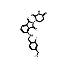 O=C1CC[C@H](N2C(=O)c3cccc(NCc4ccc(CO)cc4F)c3C2=O)C(=O)N1